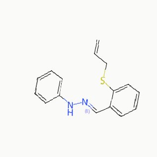 C=CCSc1ccccc1/C=N/Nc1ccccc1